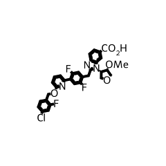 CO[C@H]1COC[C@H]1n1c(Cc2cc(F)c(-c3cccc(OCc4ccc(Cl)cc4F)n3)cc2F)nc2ccc(C(=O)O)cc21